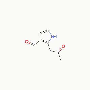 CC(=O)Cc1[nH]ccc1C=O